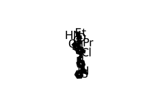 CCNC(=O)OC(C(C)C)N1C(=O)Cc2cc(CCN3CCN(c4nsc5ccccc45)CC3)c(Cl)cc21